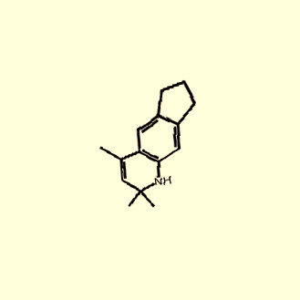 CC1=CC(C)(C)Nc2cc3c(cc21)CCC3